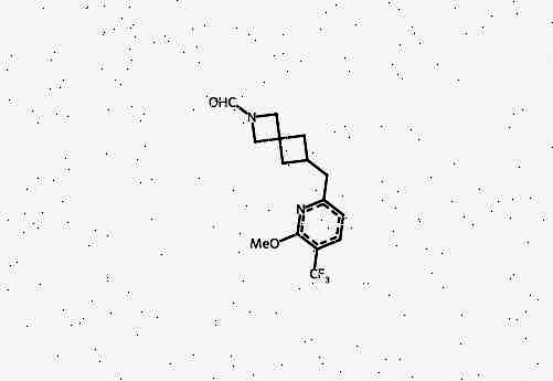 COc1nc(CC2CC3(C2)CN(C=O)C3)ccc1C(F)(F)F